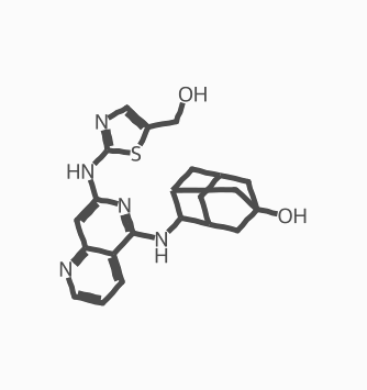 OCc1cnc(Nc2cc3ncccc3c(NC3C4CC5CC3CC(O)(C5)C4)n2)s1